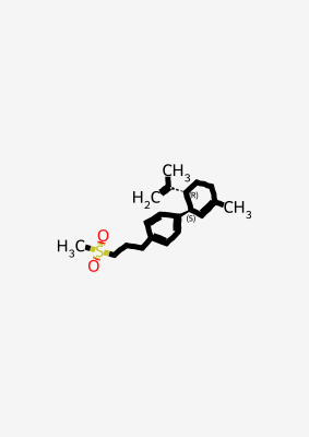 C=C(C)[C@@H]1CCC(C)=C[C@H]1c1ccc(CCCS(C)(=O)=O)cc1